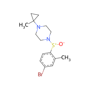 Cc1cc(Br)ccc1[S+]([O-])N1CCN(C2(C)CC2)CC1